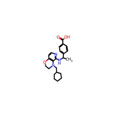 CC(Nc1nccc2c1N(CC1CCCCC1)CCO2)c1ccc(C(=O)O)cc1